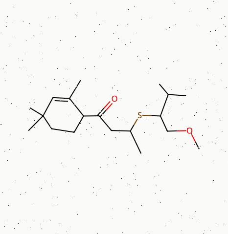 COCC(SC(C)CC(=O)C1CCC(C)(C)C=C1C)C(C)C